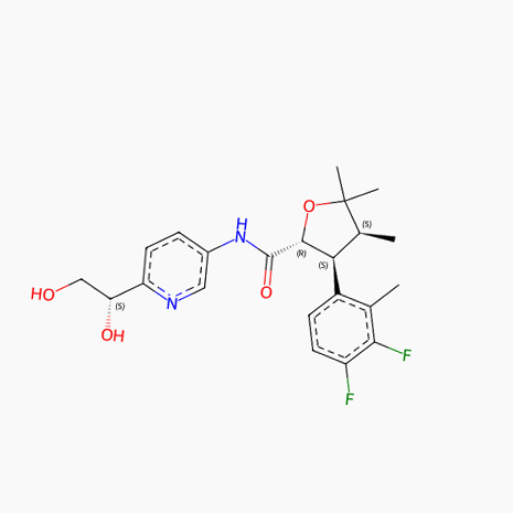 Cc1c([C@H]2[C@H](C(=O)Nc3ccc([C@H](O)CO)nc3)OC(C)(C)[C@H]2C)ccc(F)c1F